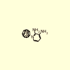 Nc1cccnc1N.[CH]12[CH]3[CH]4[CH]5[CH]1[Fe]23451678[CH]2[CH]1[CH]6[CH]7[CH]28